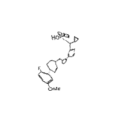 COc1ccc(F)c([C@H]2CC[C@H](COc3cccc(C(CP(C)(=O)O)C4CC4)c3)CC2)c1